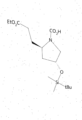 CCOC(=O)CC[C@@H]1C[C@@H](O[Si](C)(C)C(C)(C)C)CN1C(=O)O